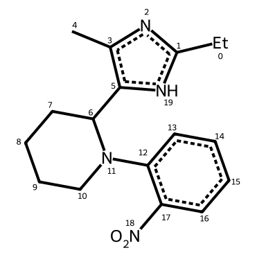 CCc1nc(C)c(C2CCCCN2c2ccccc2[N+](=O)[O-])[nH]1